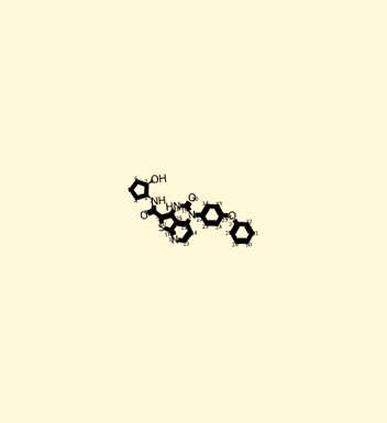 O=C(N[C@@H]1CCC[C@@H]1O)c1sc2nccc3c2c1NC(=O)N3c1ccc(Oc2ccccc2)cc1